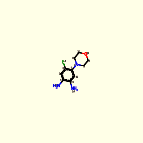 Nc1cc(F)c(N2CCOCC2)cc1N